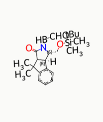 CC1(C)c2ccccc2[C@H]2C1C(=O)N(BC=O)[C@@H]2CO[Si](C)(C)C(C)(C)C